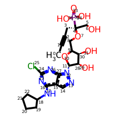 CC#CC[C@](CO)(OCC1O[C@@H](n2ncc3c(NC4CCCC4)nc(Cl)nc32)[C@H](O)[C@@H]1O)P(=O)(O)O